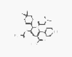 CN(C)CC(=O)N1C(C2CCNCC2)=C(C(N)=O)C=C(OC(=O)C(F)(F)F)C1C1=CCC(C)(C)CC1